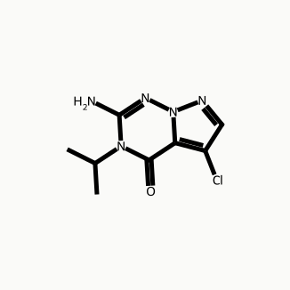 CC(C)n1c(N)nn2ncc(Cl)c2c1=O